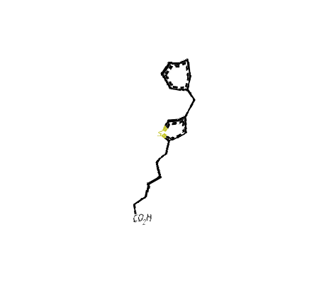 O=C(O)CCCCCCc1cc(Cc2ccccc2)cs1